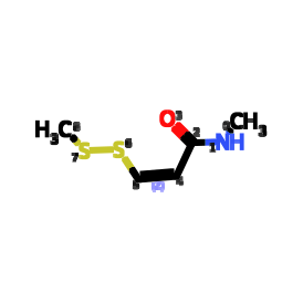 CNC(=O)/C=C\SSC